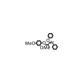 COc1ccc(OC=C(C)C(=Nc2ccccc2)Oc2ccccc2)c(OC)c1